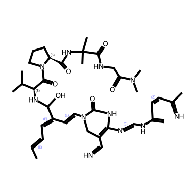 C=C(/C=C\C(C)=N)N/C=N/C1=C(C=N)CN(/C=C/C(=C\C=C\C)C(O)N[C@H](C(=O)N2CCC[C@H]2C(=O)NC(C)(C)C(=O)NCC(=O)N(C)C)C(C)C)C(=O)N1